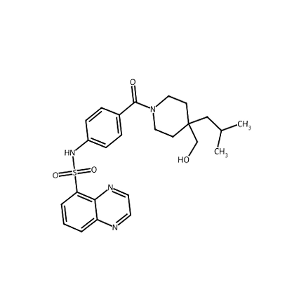 CC(C)CC1(CO)CCN(C(=O)c2ccc(NS(=O)(=O)c3cccc4nccnc34)cc2)CC1